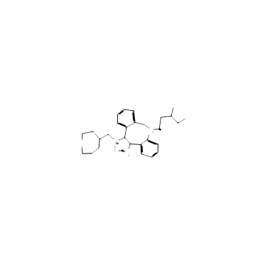 CCC(C)CC(=O)N1Cc2ccccc2C2C(N=NN2CC2CCCCCC2)c2ccccc21